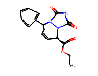 CCOC(=O)C1C=CC(c2ccccc2)n2c(=O)[nH]c(=O)n21